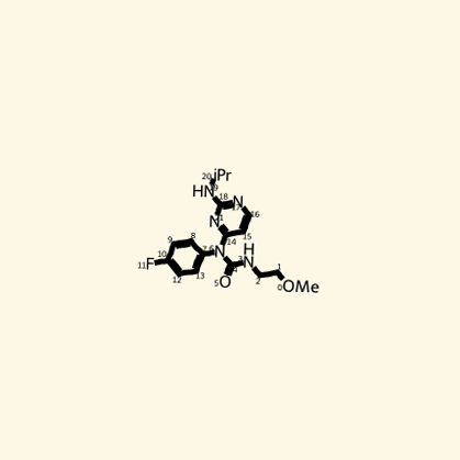 COCCNC(=O)N(c1ccc(F)cc1)c1ccnc(NC(C)C)n1